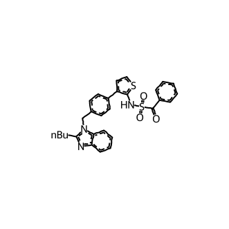 CCCCc1nc2ccccc2n1Cc1ccc(-c2ccsc2NS(=O)(=O)C(=O)c2ccccc2)cc1